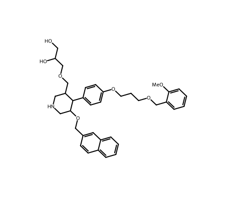 COc1ccccc1COCCCOc1ccc(C2C(COCC(O)CO)CNCC2OCc2ccc3ccccc3c2)cc1